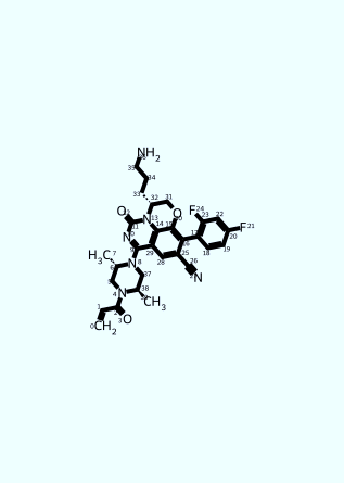 C=CC(=O)N1C[C@H](C)N(c2nc(=O)n3c4c(c(-c5ccc(F)cc5F)c(C#N)cc24)OC[C@H]3CCCN)C[C@H]1C